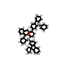 c1cc2ccccc2c(-c2ccccc2N(C2=CC=C(c3ccc4c5ccccc5n(-c5ccccc5)c4c3)CC2)c2ccc3c(c2)C2(CCCC2)c2ccccc2-3)c#1